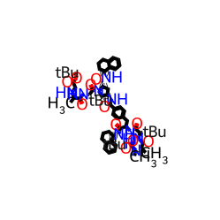 CC(NCC(=O)OC(C)(C)C)C(=O)NC(C(=O)N1C[C@@H](NC(=O)c2ccc(CC(NC(=O)C(NC(=O)C(C)N(C)C(=O)OC(C)(C)C)C(C)(C)C)C(=O)N[C@@H]3CCCc4ccccc43)cc2)C[C@H]1C(=O)N[C@@H]1CCCc2ccccc21)C(C)(C)C